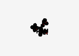 c1ccc(C2NC(c3ccccc3)NC(c3cc(-c4ccc(-c5nc6ccccc6c6ccccc56)cc4)cc(-c4ccc5c(c4)-c4ccccc4C54c5ccccc5-c5ccccc54)c3)N2)cc1